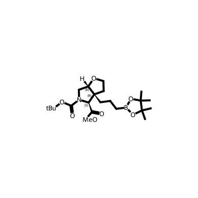 COC(=O)[C@H]1N(C(=O)OC(C)(C)C)C[C@@H]2OCC[C@@]21CCCB1OC(C)(C)C(C)(C)O1